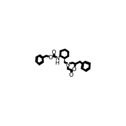 O=C1CN(C[C@@H]2CCCC[C@H]2NC(=O)OCc2ccccc2)CC(Cc2ccccc2)O1